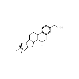 CC[C@@H]1Cc2cc(CO)ccc2C2CC[C@@]3(C)C(C[C@H]4CC=C[C@]43O[Si](C)(C)C)C21